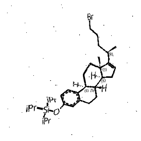 CC(C)[Si](Oc1ccc2c(c1)CC[C@@H]1[C@@H]2CC[C@]2(C)C([C@H](C)CCCBr)=CC[C@@H]12)(C(C)C)C(C)C